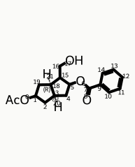 CC(=O)OC1C[C@@H]2CC(OC(=O)c3ccccc3)C(CO)[C@@H]2C1